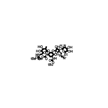 CC[C@@H]1O[C@H](OC2[C@@H](CN=[N+]=[N-])O[C@@H](O[C@H]3C(O[C@H]4OC(CNC(=O)OC(C)(C)C)C(O)[C@H](O)C4C)C(NC(=O)OC(C)(C)C)C[C@@H](NC(=O)OC(C)(C)C)C3O)[C@H]2O)C(N)C(O)C1O